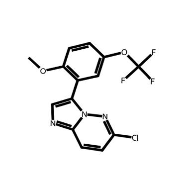 COc1ccc(OC(F)(F)F)cc1-c1cnc2ccc(Cl)nn12